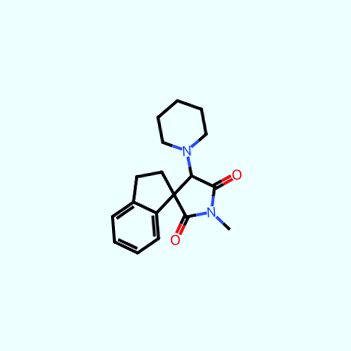 CN1C(=O)C(N2CCCCC2)C2(CCc3ccccc32)C1=O